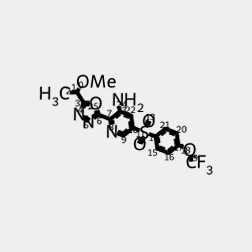 COC(C)c1nnc(-c2ncc(S(=O)(=O)c3ccc(OC(F)(F)F)cc3)cc2N)o1